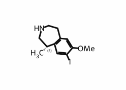 COc1cc2c(cc1I)[C@H](C)CNCC2